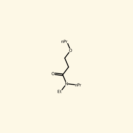 CCCOCCC(=O)N(CC)CCC